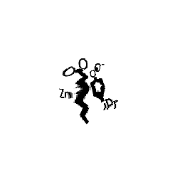 CC(C)c1ccc(O[O-])cc1.CCCCCCCC(=O)[O-].[Zn+2]